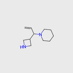 C=CC(C1CNC1)N1CCCCC1